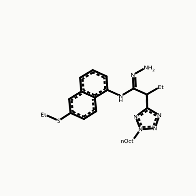 CCCCCCCCn1nnc(C(CC)C(=NN)Nc2cccc3cc(SCC)ccc23)n1